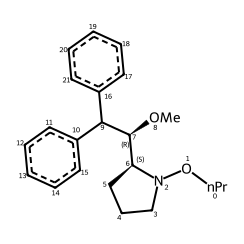 CCCON1CCC[C@H]1[C@H](OC)C(c1ccccc1)c1ccccc1